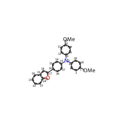 COc1ccc(N(c2ccc(OC)cc2)c2ccc(-c3cc4ccccc4o3)cc2)cc1